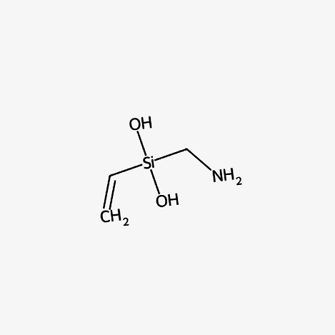 C=C[Si](O)(O)CN